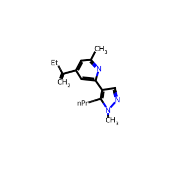 C=C(CC)c1cc(C)nc(-c2cnn(C)c2CCC)c1